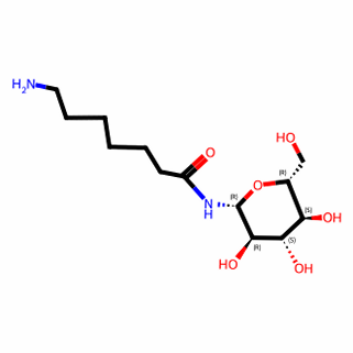 NCCCCCCC(=O)N[C@@H]1O[C@H](CO)[C@@H](O)[C@H](O)[C@H]1O